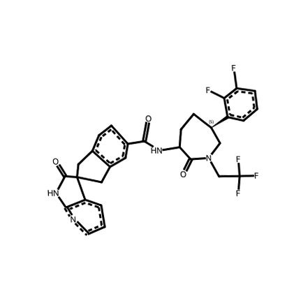 O=C(NC1CC[C@@H](c2cccc(F)c2F)CN(CC(F)(F)F)C1=O)c1ccc2c(c1)CC1(C2)C(=O)Nc2ncccc21